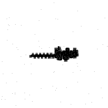 CCCCCCCCCCCCCCOc1c(OC)cc(COC(=O)N(Cc2cccc[n+]2C)C(=O)c2ccccc2)cc1OC.[I-]